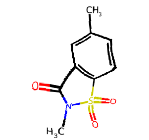 Cc1ccc2c(c1)C(=O)N(C)S2(=O)=O